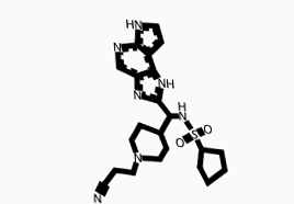 N#CCCN1CCC(C(NS(=O)(=O)C2CCCC2)c2nc3cnc4[nH]ccc4c3[nH]2)CC1